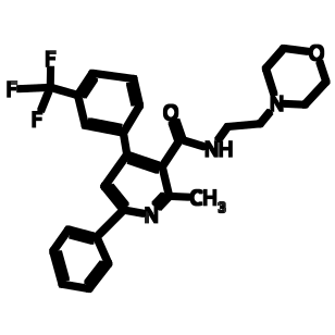 Cc1nc(-c2ccccc2)cc(-c2cccc(C(F)(F)F)c2)c1C(=O)NCCN1CCOCC1